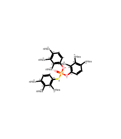 CCCCCCc1ccc(OP(=O)(Oc2ccc(CCCCCC)c(CCCCCC)c2CCCCCC)Sc2ccc(CCCCCC)c(CCCCCC)c2CCCCCC)c(CCCCCC)c1CCCCCC